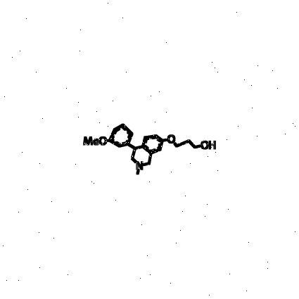 COc1cccc(C2CN(C)Cc3cc(OCCCO)ccc32)c1